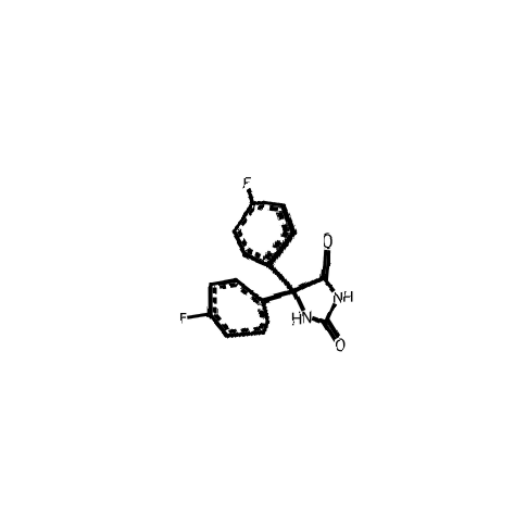 O=C1NC(=O)C(c2ccc(F)cc2)(c2ccc(F)cc2)N1